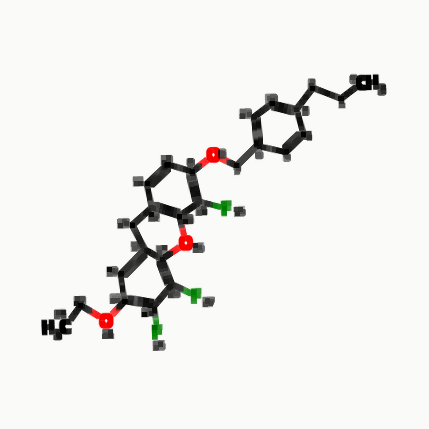 CCCc1ccc(COc2ccc3c(c2F)Oc2c(cc(OCC)c(F)c2F)C3)cc1